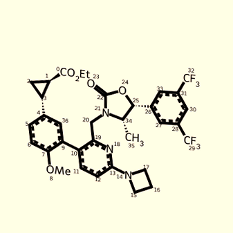 CCOC(=O)[C@@H]1C[C@H]1c1ccc(OC)c(-c2ccc(N3CCC3)nc2CN2C(=O)O[C@H](c3cc(C(F)(F)F)cc(C(F)(F)F)c3)[C@@H]2C)c1